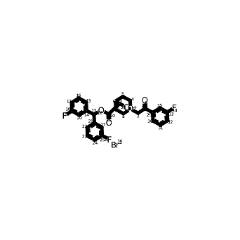 O=C(C[N+]12CCC(CC1)C(C(=O)OC(c1cccc(F)c1)c1cccc(F)c1)C2)c1cccc(F)c1.[Br-]